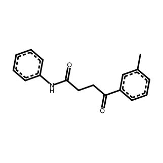 Cc1cccc(C(=O)CCC(=O)Nc2ccccc2)c1